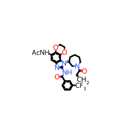 C=CC(=O)N1CCCC[C@@H](n2c(NC(=O)c3cccc(C(F)(F)F)c3)nc3cc(NC(C)=O)c4c(c32)OCCO4)C1